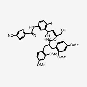 COc1ccc(CN(Cc2ccc(OC)cc2OC)C(=N)O/C(=C\[C@@H](C)c2cc(NC(=O)c3ccc(C#N)cn3)ccc2F)CO)c(OC)c1